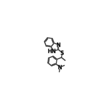 CC(Sc1nc2ccccc2[nH]1)c1ccccc1N(C)C